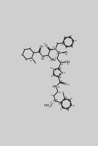 CCC(C)C(NC(=O)C1CCCCN1C)C(=O)N(Cc1ccccc1)[C@H](C[C@@H](O)c1nc(C(=O)NCC[C@@H](C(=O)O)c2ccccc2C)cs1)C(C)C